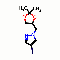 CC1(C)OCC(Cn2cc(I)cn2)O1